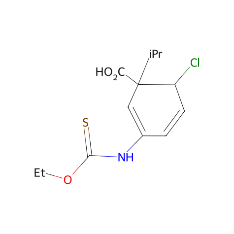 CCOC(=S)NC1=CC(C(=O)O)(C(C)C)C(Cl)C=C1